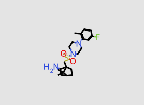 Cc1ccc(F)cc1N1CCN(S(=O)(=O)CC23CCC(CC2N)C3(C)C)CC1